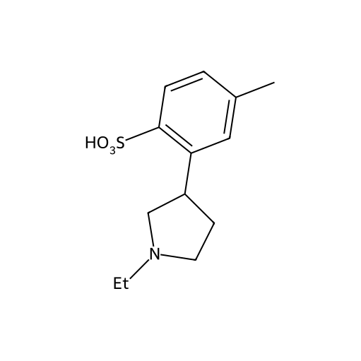 CCN1CCC(c2cc(C)ccc2S(=O)(=O)O)C1